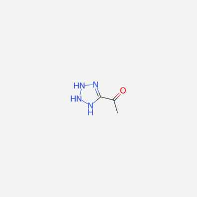 CC(=O)C1=NNNN1